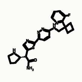 NC(=O)C(c1cnc(-c2ccc(NCC3(c4ncccc4F)CCC3)nn2)s1)[C@@H]1CCCN1